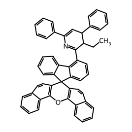 CCC1C(c2cccc3c2-c2ccccc2C32c3ccc4ccccc4c3Oc3c2ccc2ccccc32)=NC(c2ccccc2)=CC1c1ccccc1